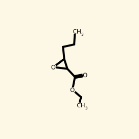 CCCC1OC1C(=O)OCC